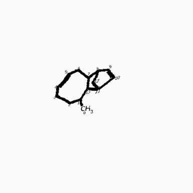 CC1CCC=CCC2C3C=CC(C3)C12